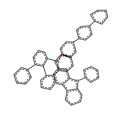 c1ccc(-c2ccc(-c3ccc(N(c4ccc5c6ccccc6n(-c6ccccc6)c5c4)c4cccc(-c5ccccc5)c4-c4ccccc4-c4ccccc4)cc3)cc2)cc1